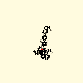 CN1CCN(C2CCN(c3c(F)cc(Nc4ncc(Br)c(Nc5ccc6nccnc6c5NS(C)(=O)=O)n4)cc3F)CC2)CC1